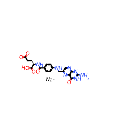 Nc1nc2ncc(CNc3ccc(C(=O)N[C@@H](CCC(=O)[O-])C(=O)O)cc3)nc2c(=O)[nH]1.[Na+]